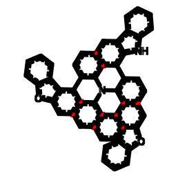 c1ccc(-c2cccc(-c3cccc4c3[nH]c3ccccc34)c2N(c2ccccc2-c2cccc3oc4ccccc4c23)c2ccccc2-c2cccc3oc4ccccc4c23)cc1